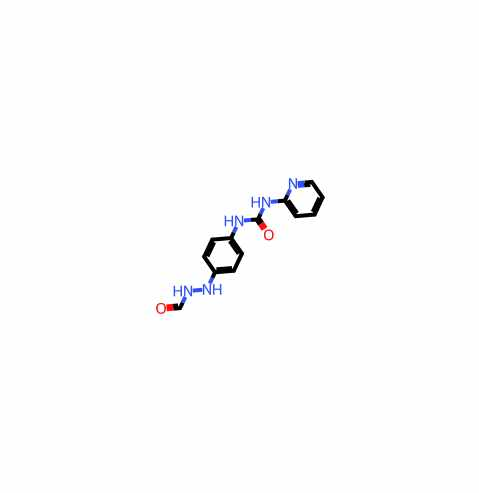 O=CNNc1ccc(NC(=O)Nc2ccccn2)cc1